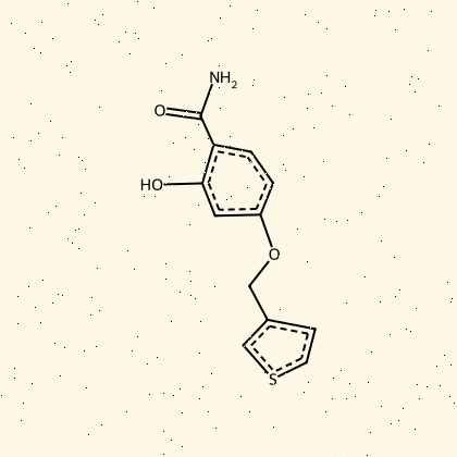 NC(=O)c1ccc(OCc2ccsc2)cc1O